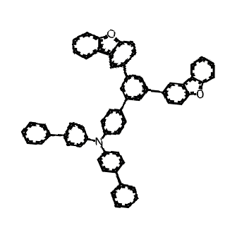 c1ccc(-c2ccc(N(c3ccc(-c4ccccc4)cc3)c3ccc(-c4cc(-c5ccc6oc7ccccc7c6c5)cc(-c5ccc6oc7ccccc7c6c5)c4)cc3)cc2)cc1